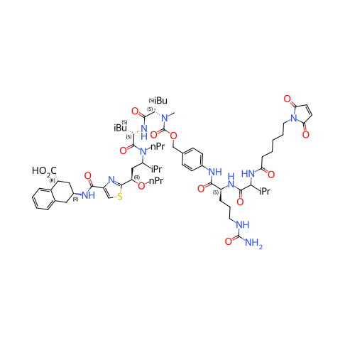 CCCO[C@H](CC(C(C)C)N(CCC)C(=O)[C@@H](NC(=O)[C@H]([C@@H](C)CC)N(C)C(=O)OCc1ccc(NC(=O)[C@H](CCCNC(N)=O)NC(=O)C(NC(=O)CCCCCN2C(=O)C=CC2=O)C(C)C)cc1)[C@@H](C)CC)c1nc(C(=O)N[C@H]2Cc3ccccc3[C@H](C(=O)O)C2)cs1